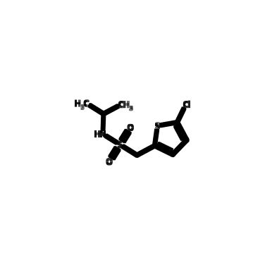 CC(C)NS(=O)(=O)Cc1ccc(Cl)s1